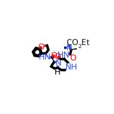 CCOC(=O)N(C)[C@@H](C)C(=O)N[C@H]1CNCC[C@H]2CC[C@@H](C(=O)N[C@@H]3CCOc4ccccc43)N2C1=O